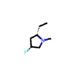 CC[C@H]1C[C@H](F)CN1C